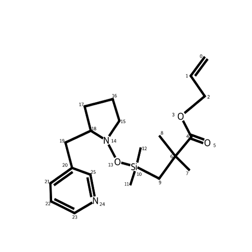 C=CCOC(=O)C(C)(C)C[Si](C)(C)ON1CCCC1Cc1cccnc1